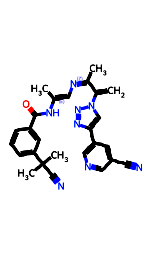 C=C(/C(C)=N\C=C(/C)NC(=O)c1cccc(C(C)(C)C#N)c1)n1cc(-c2cncc(C#N)c2)nn1